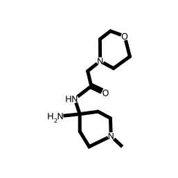 CN1CCC(N)(NC(=O)CN2CCOCC2)CC1